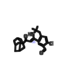 CC1(C)Cc2cc(Cl)c(C=O)cc2/C(=C/C(=O)C23CC4CC(CC(C4)C2)C3)N1